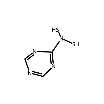 SN(S)c1ncncn1